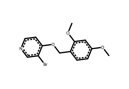 COc1ccc(COc2ccncc2Br)c(OC)c1